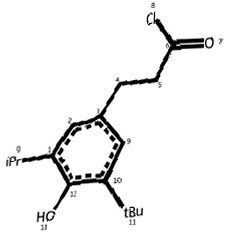 CC(C)c1cc(CCC(=O)Cl)cc(C(C)(C)C)c1O